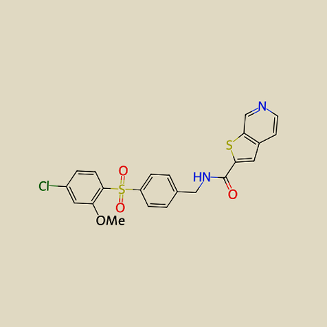 COc1cc(Cl)ccc1S(=O)(=O)c1ccc(CNC(=O)c2cc3ccncc3s2)cc1